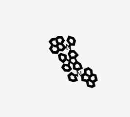 c1ccc(N(c2ccc3c(c2)C(c2ccccc2)(c2ccccc2)c2cc(N(c4ccccc4)c4cc5cccc6ccc7cccc4c7c65)ccc2-3)c2cc3cccc4ccc5cccc2c5c43)cc1